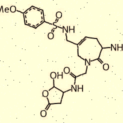 COc1ccc(S(=O)(=O)NCC2=CCC(N)C(=O)N(CC(=O)NC3CC(=O)OC3O)C2)cc1